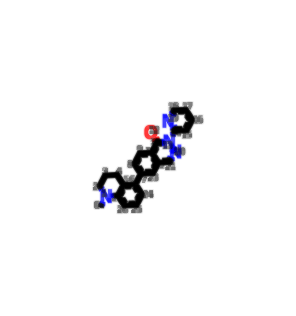 CN1CCCc2c(-c3ccc4c(=O)n(-c5ccccn5)ncc4c3)cccc21